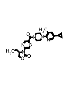 CCC1COC(=O)N1c1cnc(C(=O)N2CCN(c3ncc(C4CC4)cc3C)CC2)cn1